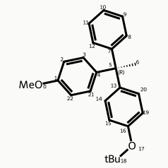 COc1ccc([C@@](C)(c2ccccc2)c2ccc(OC(C)(C)C)cc2)cc1